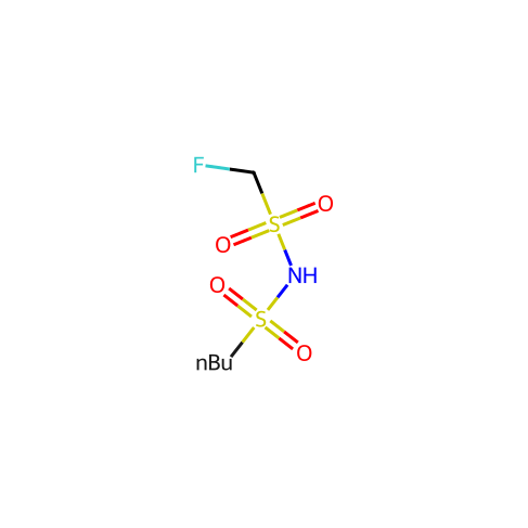 CCCCS(=O)(=O)NS(=O)(=O)CF